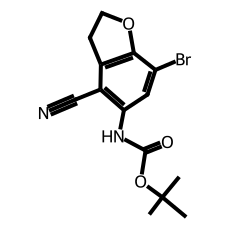 CC(C)(C)OC(=O)Nc1cc(Br)c2c(c1C#N)CCO2